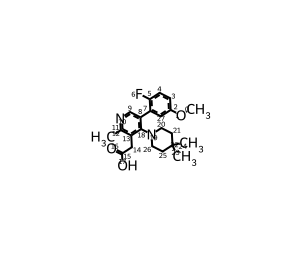 COc1ccc(F)c(-c2cnc(C)c(CC(=O)O)c2N2CCC(C)(C)CC2)c1